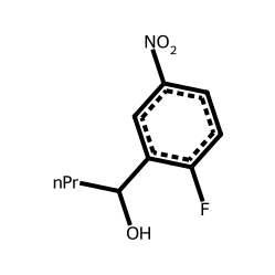 CCCC(O)c1cc([N+](=O)[O-])ccc1F